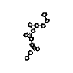 c1ccc(-c2ccc(-n3c4ccccc4c4cc(-c5ccc6c(c5)c5ccccc5n6-c5cccc(-c6ccccc6-c6ccc(-c7cccc(-c8cccc(-c9ccccc9)c8)c7)cc6)c5)ccc43)cc2)cc1